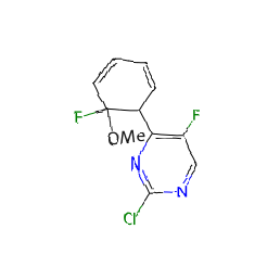 COC1(F)C=CC=CC1c1nc(Cl)ncc1F